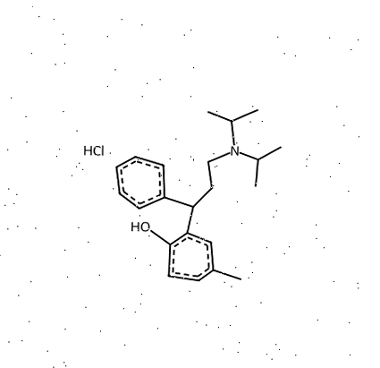 Cc1ccc(O)c(C(CCN(C(C)C)C(C)C)c2ccccc2)c1.Cl